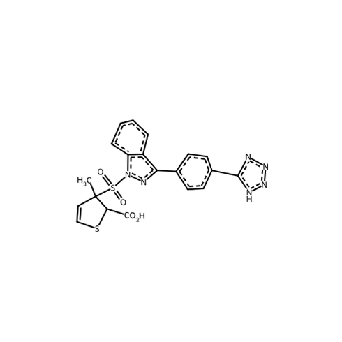 CC1(S(=O)(=O)n2nc(-c3ccc(-c4nnn[nH]4)cc3)c3ccccc32)C=CSC1C(=O)O